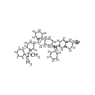 CC1(C)c2ccccc2-c2ccc(C3Cc4cc(N(c5ccccc5)c5ccc6cc(Br)ccc6c5)ccc4-c4ccccc43)cc21